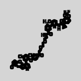 Cc1ccc(NC(=O)C2(c3ccc4c(c3)OC(F)(F)O4)CC2)nc1-c1cccc(C(=O)NCCOCCOCCC(=O)N2CCC(Oc3c(C)cc(Cl)cc3-c3ccnc4cc(CN5C(=O)CCC5=O)sc34)CC2)c1